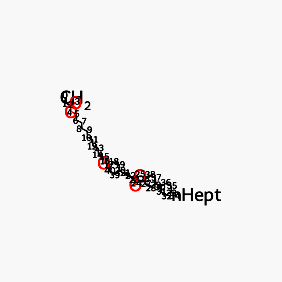 C=CC(=O)OCCCCCCCCCCCOc1ccc(C#CC(=O)Oc2ccc(C3CCC(CCCCCCC)CC3)cc2)cc1